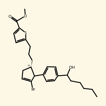 CCCCCC(O)c1ccc(C2C(Br)=CC[C@@H]2CCCc2ccc(C(=O)OC)s2)cc1